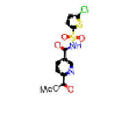 COC(=O)c1ccc(C(=O)NS(=O)(=O)c2ccc(Cl)s2)cn1